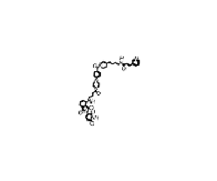 O=C(/C=C/c1cccnc1)NCCCCC1CCN(C(=O)c2ccc(N3CCN(C(=O)CCCNc4cccc5c4C(=O)N(C4CCC(=O)NC4=O)C5=O)CC3)cc2)CC1